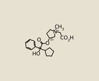 C[N+]1(CC(=O)O)CC[C@H](OC(=O)[C@@](O)(c2ccccc2)C2CCCC2)C1